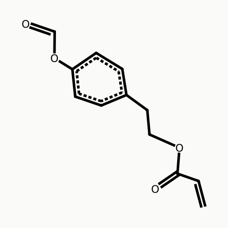 C=CC(=O)OCCc1ccc(OC=O)cc1